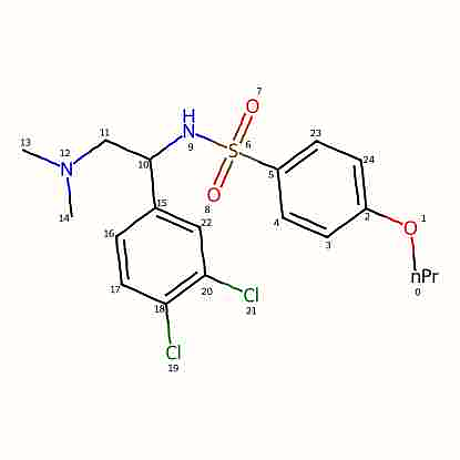 CCCOc1ccc(S(=O)(=O)NC(CN(C)C)c2ccc(Cl)c(Cl)c2)cc1